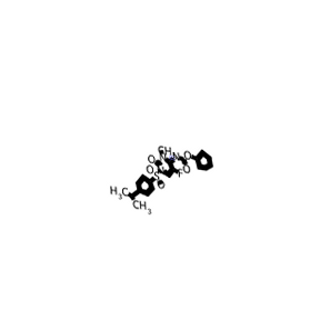 CC(C)c1ccc(S(=O)(=O)n2cc(F)/c(=N\C(=O)Oc3ccccc3)n(C)c2=O)cc1